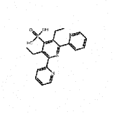 CCc1c(-c2ccccn2)nc(-c2ccccn2)c(CC)c1P(=O)(O)O